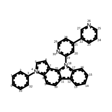 c1ccc(-n2ccc3c2ccc2c4ccccc4n(-c4cc(-c5cccnc5)ccn4)c23)cc1